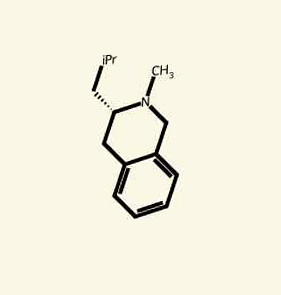 CC(C)C[C@H]1Cc2ccccc2CN1C